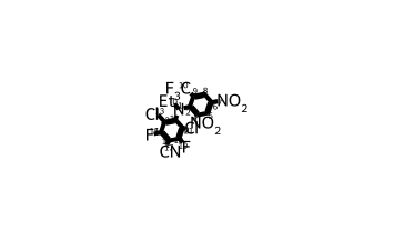 CCN(c1c([N+](=O)[O-])cc([N+](=O)[O-])cc1C(F)(F)F)c1c(Cl)c(F)c(C#N)c(F)c1Cl